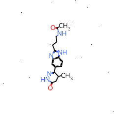 CC(=O)NCCCc1nc2cc(C3=NNC(=O)CC3C)ccc2[nH]1